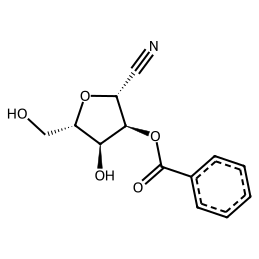 N#C[C@H]1O[C@@H](CO)[C@H](O)[C@@H]1OC(=O)c1ccccc1